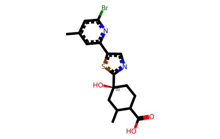 Cc1cc(Br)nc(-c2cnc([C@]3(O)CCC(C(=O)O)C(C)C3)s2)c1